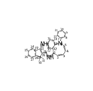 C=C1/C=C\C=C/N(c2ccccc2)c2cccc(C(=N)C3=C(N)c4ccccc4C3(C)C)c21